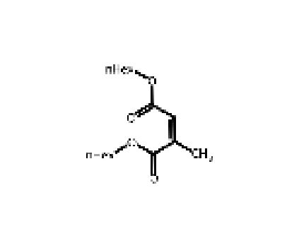 CCCCCCOC(=O)C=C(C)C(=O)OCCCCCC